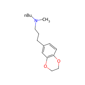 CCCCN(C)CCCc1ccc2c(c1)OCCO2